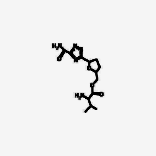 CC(C)C(N)C(=O)OCC1CCC(c2nc(C(N)=O)ns2)O1